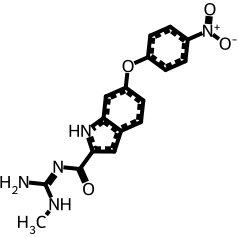 CNC(N)=NC(=O)c1cc2ccc(Oc3ccc([N+](=O)[O-])cc3)cc2[nH]1